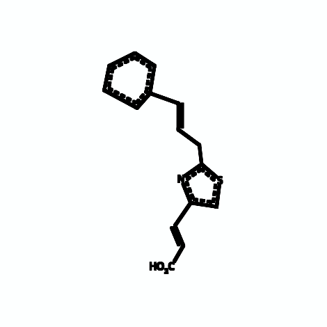 O=C(O)/C=C/c1csc(C/C=C/c2ccccc2)n1